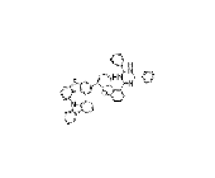 C1=CC2c3c(cccc3C3=NC(c4ccccc4)NC(c4ccccc4)N3)OC2C(c2ccc3c(c2)sc2cccc(-n4c5ccccc5c5ccccc54)c23)=C1